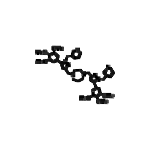 COc1cc(-c2cc(CN3CCCN(Cc4cc(-c5cc(OC)c(OC)c(OC)c5)n(Cc5cccnc5)n4)CC3)nn2Cc2cccnc2)cc(OC)c1OC